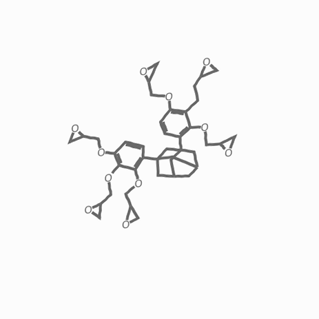 c1cc(C23CC4CC(C2)CC(c2ccc(OCC5CO5)c(OCC5CO5)c2OCC2CO2)(C4)C3)c(OCC2CO2)c(CCC2CO2)c1OCC1CO1